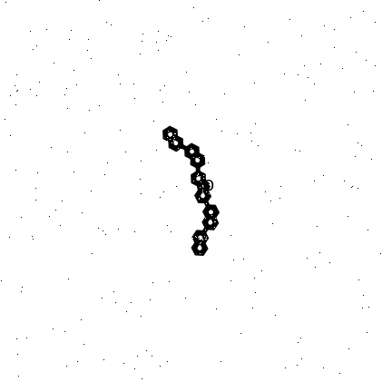 c1ccc2cc(-c3ccc4ccc(-c5ccc6c(c5)oc5cc(-c7ccc8ccc(-c9ccc%10ccccc%10c9)cc8c7)ccc56)cc4c3)ccc2c1